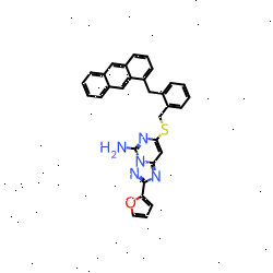 Nc1nc(SCc2ccccc2Cc2cccc3cc4ccccc4cc23)cc2nc(-c3ccco3)nn12